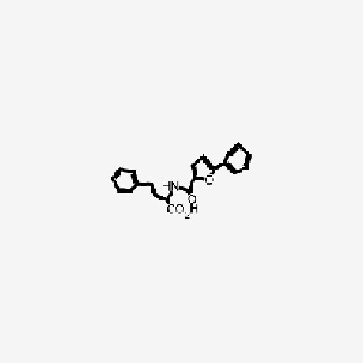 O=C(NC(CCc1ccccc1)C(=O)O)c1ccc(-c2ccccc2)o1